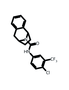 O=C(Nc1ccc(Cl)c(C(F)(F)F)c1)N1C2CCC1c1ccccc1C2